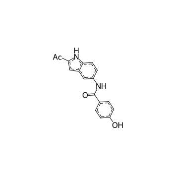 CC(=O)c1cc2cc(NC(=O)c3ccc(O)cc3)ccc2[nH]1